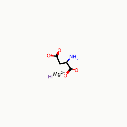 I.NC(CC(=O)[O-])C(=O)[O-].[Mg+2]